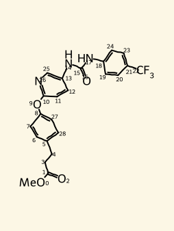 COC(=O)CCc1ccc(Oc2ccc(NC(=O)Nc3ccc(C(F)(F)F)cc3)cn2)cc1